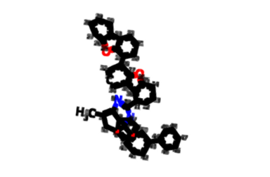 C\C1=C(c2ccccc2)/N=C(c2cccc3oc4c(-c5cccc6c5oc5ccccc56)cccc4c23)\N=C(\c2cccc(-c3ccccc3)c2)CC1